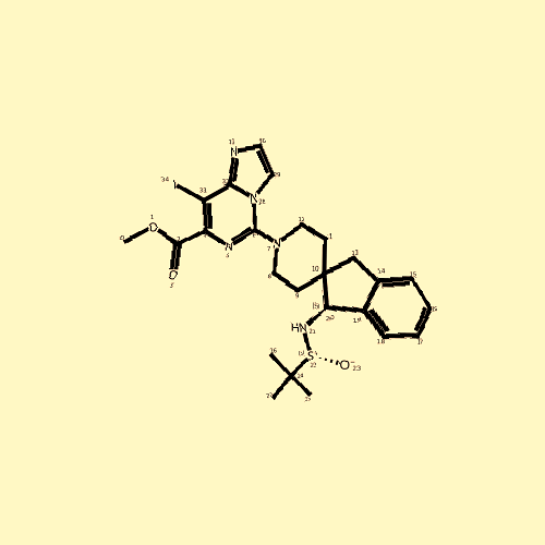 COC(=O)c1nc(N2CCC3(CC2)Cc2ccccc2[C@H]3N[S@+]([O-])C(C)(C)C)n2ccnc2c1I